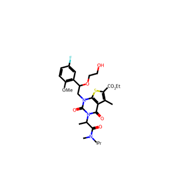 CCOC(=O)c1sc2c(c1C)c(=O)n(C(C)C(=O)N(C)C(C)C)c(=O)n2CC(OCCO)c1cc(F)ccc1OC